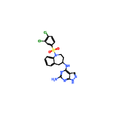 Nc1nc(NC2CCN(S(=O)(=O)c3ccc(Cl)c(Cl)c3)c3ccccc3C2)c2cn[nH]c2n1